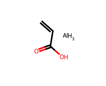 C=CC(=O)O.[AlH3]